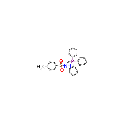 Cc1ccc(S(=O)(=O)NC=P(c2ccccc2)(c2ccccc2)c2ccccc2)cc1